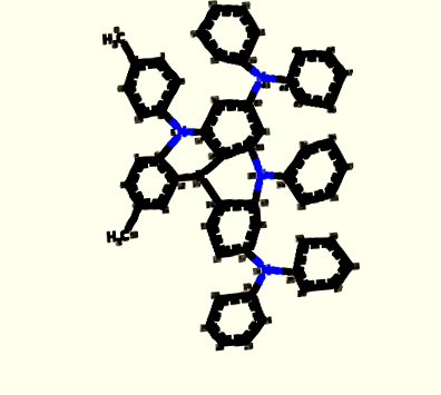 Cc1ccc(N2c3ccc(C)cc3B3c4ccc(N(c5ccccc5)c5ccccc5)cc4N(c4ccccc4)c4cc(N(c5ccccc5)c5ccccc5)cc2c43)cc1